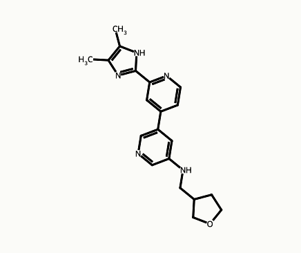 Cc1nc(-c2cc(-c3cncc(NCC4CCOC4)c3)ccn2)[nH]c1C